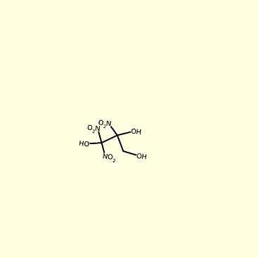 O=[N+]([O-])C(O)(CO)C(O)([N+](=O)[O-])[N+](=O)[O-]